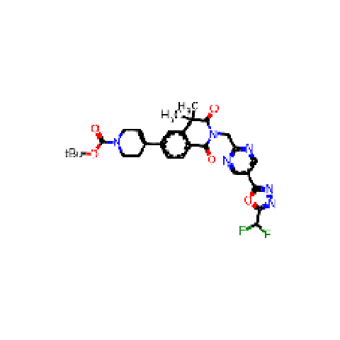 CC(C)(C)OC(=O)N1CC=C(c2ccc3c(c2)C(C)(C)C(=O)N(Cc2ncc(-c4nnc(C(F)F)o4)cn2)C3=O)CC1